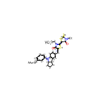 CCN1C(=O)/C(=c2\s/c(=C/c3ccc4c(c3)C3CCCC3N4c3cccc(SC)c3)c(=O)n2CC(=O)O)SC1=S